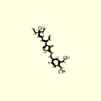 CCC(=CC=CC(O)(CC)CC)c1csc(CCc2ccc(CO)c(CO)c2)c1